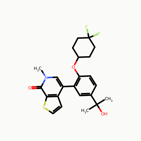 Cn1cc(-c2cc(C(C)(C)O)ccc2OC2CCC(F)(F)CC2)c2ccsc2c1=O